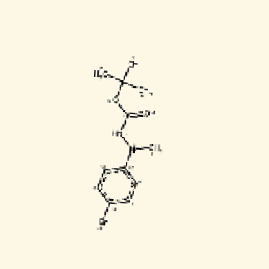 CN(NC(=O)OC(C)(C)C)c1ccc(Br)cc1